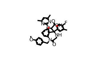 COc1ccc(CN2C(=O)CNC(c3ccc(F)c(C)c3)(C(Oc3nc(C)cc(C)n3)C(=O)O)c3ccccc32)cc1